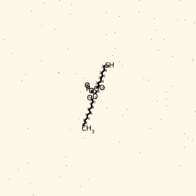 CCCCCCCCCCCC(=O)O[C@@H](COP=O)COC(=O)CCCCCCCS